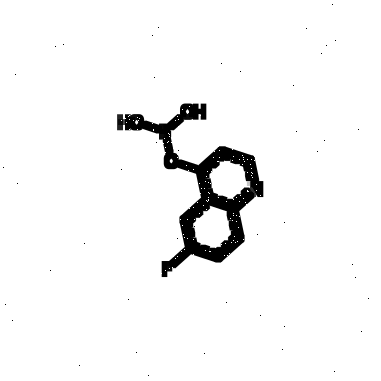 OB(O)Oc1ccnc2ccc(F)cc12